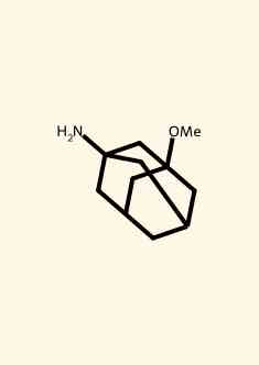 COC12CC3CC(CC(N)(C3)C1)C2